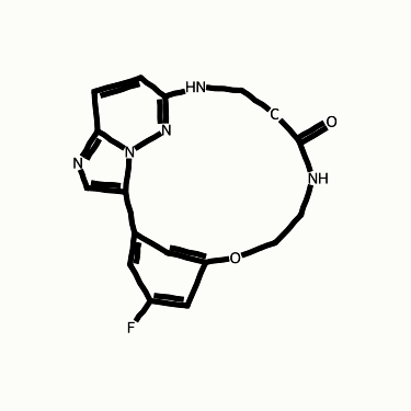 O=C1CCNc2ccc3ncc(n3n2)-c2cc(F)cc(c2)OCCN1